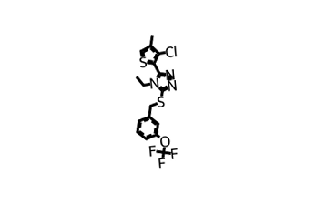 CCn1c(SCc2cccc(OC(F)(F)F)c2)nnc1-c1scc(C)c1Cl